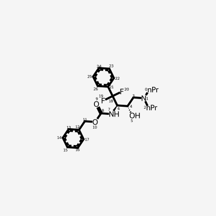 CCCN(CCC)C[C@H](O)[C@@H](NC(=O)OCc1ccccc1)C(F)(F)c1ccccc1